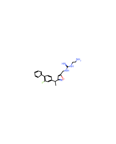 CC(c1ccc(-c2ccccc2)c(F)c1)c1cc(CNC(=N)NCCN)on1